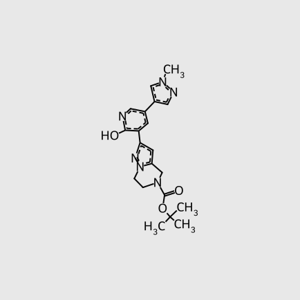 Cn1cc(-c2cnc(O)c(-c3cc4n(n3)CCN(C(=O)OC(C)(C)C)C4)c2)cn1